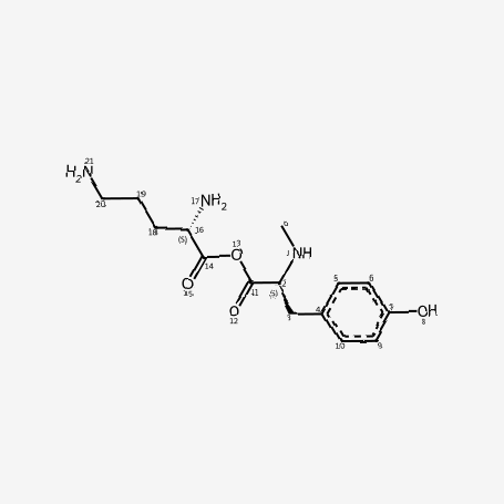 CN[C@@H](Cc1ccc(O)cc1)C(=O)OC(=O)[C@@H](N)CCCN